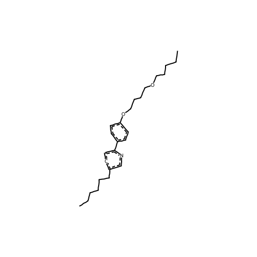 CCCCCCc1ccc(-c2ccc(OCCCCOCCCCC)cc2)nc1